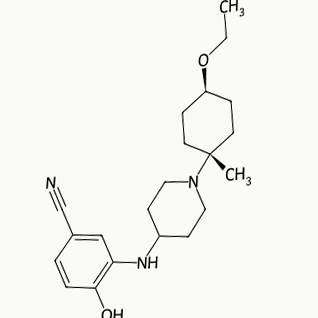 CCO[C@H]1CC[C@](C)(N2CCC(Nc3cc(C#N)ccc3O)CC2)CC1